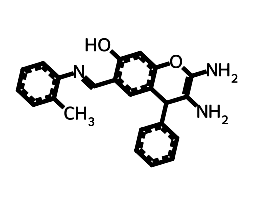 Cc1ccccc1/N=C/c1cc2c(cc1O)OC(N)=C(N)C2c1ccccc1